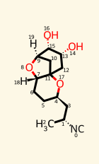 [C-]#[N+][C@H](C)C[C@H]1CC[C@@H]2O[C@@H]3CC2(C[C@@H](O)[C@H]3O)O1